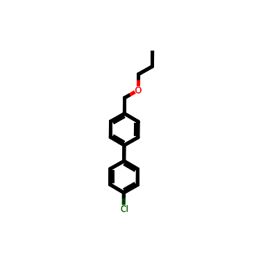 CCCOCc1ccc(-c2ccc(Cl)cc2)cc1